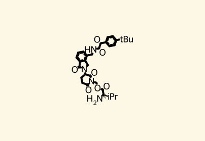 CC(C)[C@@H](N)C(=O)OCN1C(=O)CCC(N2Cc3c(CNC(=O)C(=O)c4ccc(C(C)(C)C)cc4)cccc3C2=O)C1=O